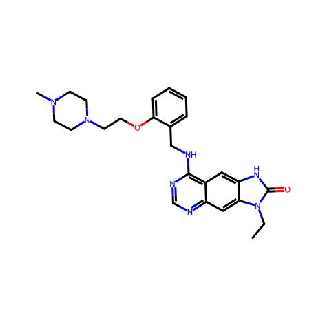 CCn1c(=O)[nH]c2cc3c(NCc4ccccc4OCCN4CCN(C)CC4)ncnc3cc21